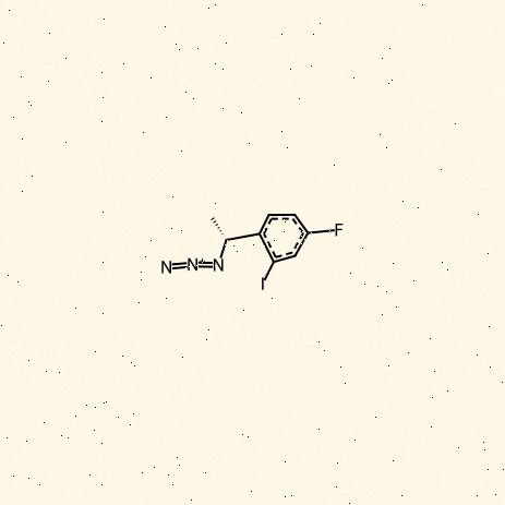 C[C@@H](N=[N+]=[N-])c1ccc(F)cc1I